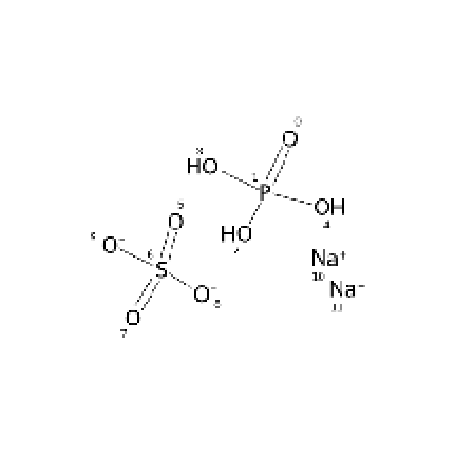 O=P(O)(O)O.O=S(=O)([O-])[O-].[Na+].[Na+]